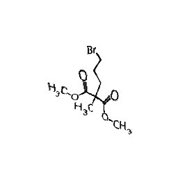 COC(=O)C(C)(CCCBr)C(=O)OC